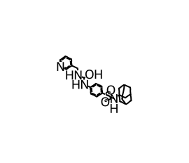 O=S(=O)(NC12CC3CC(CC(C3)C1)C2)c1ccc(NC(O)NCc2cccnc2)cc1